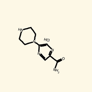 Cl.NC(=O)c1cnc(N2CCNCC2)cn1